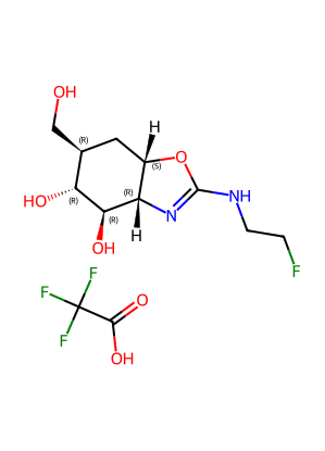 O=C(O)C(F)(F)F.OC[C@H]1C[C@@H]2OC(NCCF)=N[C@@H]2[C@@H](O)[C@@H]1O